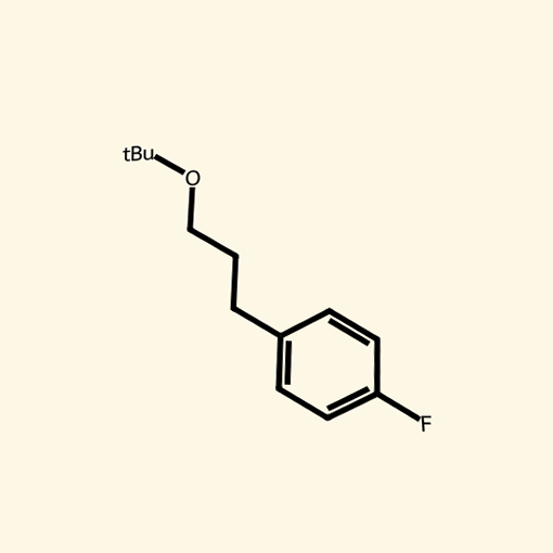 CC(C)(C)OCCCc1ccc(F)cc1